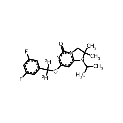 [2H]C([2H])(Oc1cc2n(c(=O)n1)CC(C)(C)N2C(C)C)c1cc(F)cc(F)c1